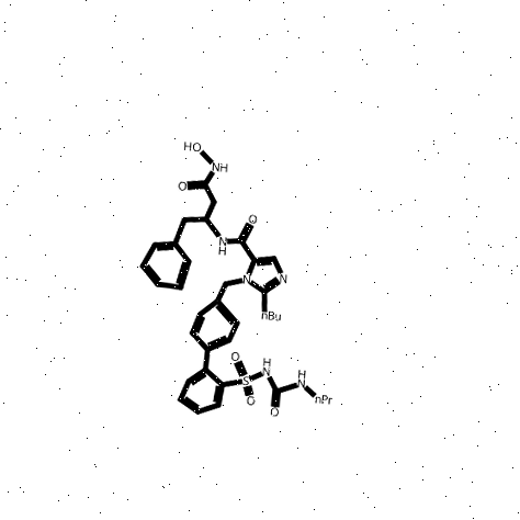 CCCCc1ncc(C(=O)NC(CC(=O)NO)Cc2ccccc2)n1Cc1ccc(-c2ccccc2S(=O)(=O)NC(=O)NCCC)cc1